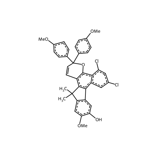 COc1ccc(C2(c3ccc(OC)cc3)C=Cc3c4c(c5cc(Cl)cc(Cl)c5c3O2)-c2cc(O)c(OC)cc2C4(C)C)cc1